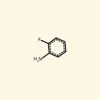 Fc1ccccc1[SiH3]